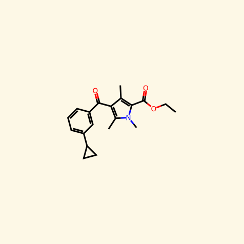 CCOC(=O)c1c(C)c(C(=O)c2cccc(C3CC3)c2)c(C)n1C